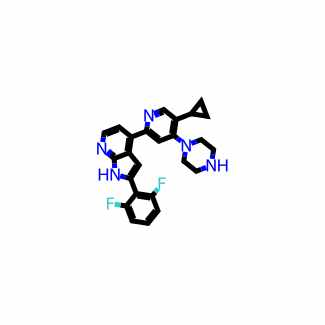 Fc1cccc(F)c1-c1cc2c(-c3cc(N4CCNCC4)c(C4CC4)cn3)ccnc2[nH]1